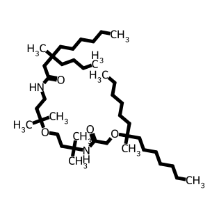 CCCCCCCC(C)(CCCCCC)OCC(=O)NC(C)(C)CCOC(C)(C)CCNC(=O)CC(C)(CCCC)CCCCCC